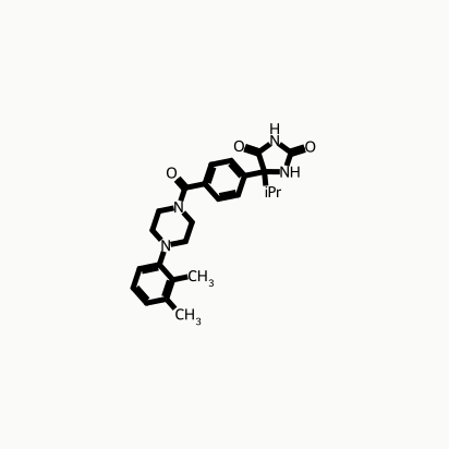 Cc1cccc(N2CCN(C(=O)c3ccc(C4(C(C)C)NC(=O)NC4=O)cc3)CC2)c1C